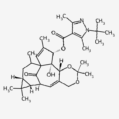 CC1=CC23C(=O)[C@@H](C=C4COC(C)(C)O[C@H]4[C@]2(O)[C@H]1OC(=O)c1c(C)nn(C(C)(C)C)c1C)[C@H]1[C@@H](CC3C)C1(C)C